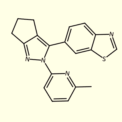 Cc1cccc(-n2nc3c(c2-c2ccc4ncsc4c2)CCC3)n1